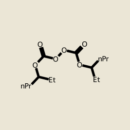 CCCC(CC)OC(=O)OOC(=O)OC(CC)CCC